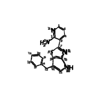 Nc1ncccc1-c1nc2[nH]cc(Cc3ccccc3)c2s1